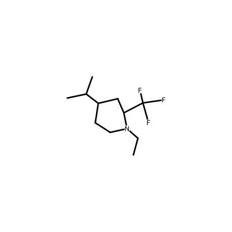 CCN1CCC(C(C)C)CC1C(F)(F)F